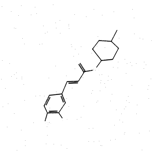 COc1ccc(C=CC(=O)NC2CCC(C)CC2)cc1OC(C)=O